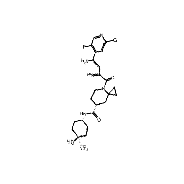 N=C(/C=C(\N)c1cc(Cl)ncc1F)C(=O)N1CC[C@@H](C(=O)N[C@H]2CC[C@@](O)(C(F)(F)F)CC2)CC12CC2